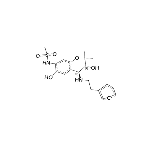 CC1(C)Oc2cc(NS(C)(=O)=O)c(O)cc2[C@H](NCCc2ccccc2)[C@H]1O